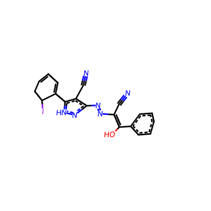 N#CC(/N=N/c1n[nH]c(C2=CC=CCC2I)c1C#N)=C(/O)c1ccccc1